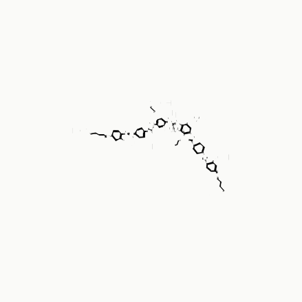 COc1cc(N=Nc2ccc(N=Nc3ccc(OCCCCS(=O)(=O)O)cc3S(=O)(=O)O)cc2)c(OCCS(=O)(=O)O)cc1NC(=O)Nc1cc(OCCS(=O)(=O)O)c(N=Nc2ccc(N=Nc3ccc(OCCCCS(=O)(=O)O)cc3S(=O)(=O)O)cc2)cc1OC